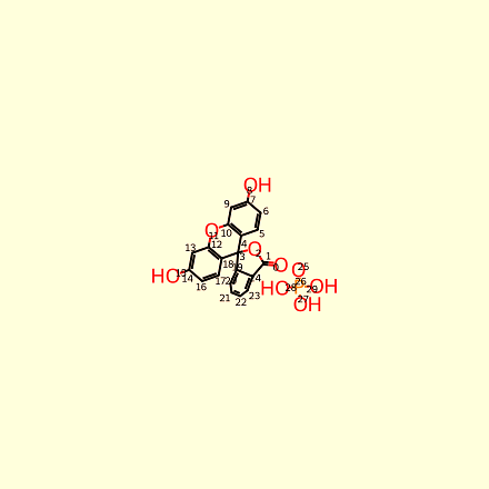 O=C1OC2(c3ccc(O)cc3Oc3cc(O)ccc32)c2ccccc21.O=P(O)(O)O